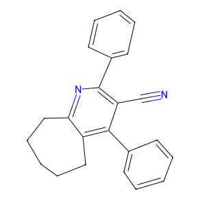 N#Cc1c(-c2ccccc2)nc2c(c1-c1ccccc1)CCCCC2